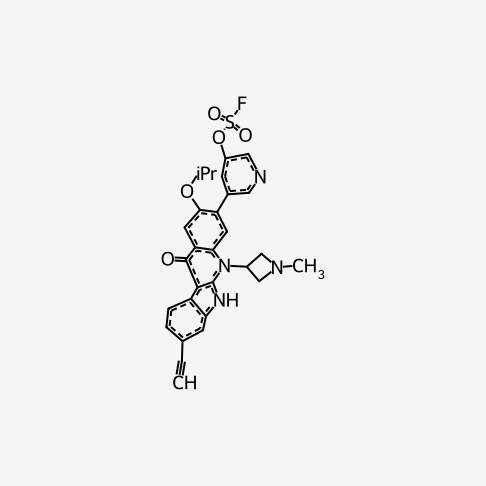 C#Cc1ccc2c(c1)[nH]c1c2c(=O)c2cc(OC(C)C)c(-c3cncc(OS(=O)(=O)F)c3)cc2n1C1CN(C)C1